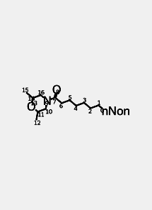 CCCCCCCCCCCCCCCC(=O)N1CC(C)OC(C)C1